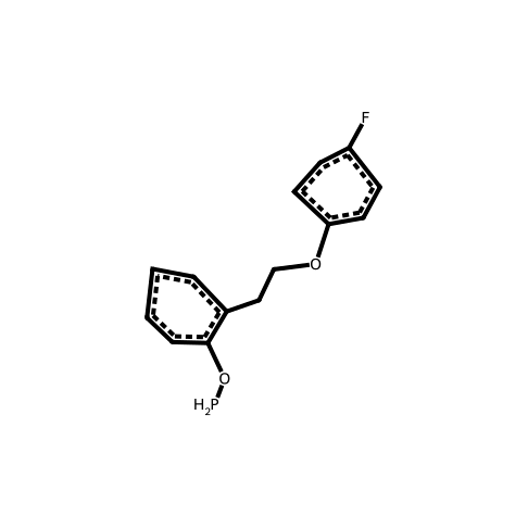 Fc1ccc(OCCc2ccccc2OP)cc1